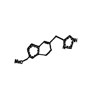 COc1ccc2c(c1)CCC(Cc1c[nH]cn1)=C2